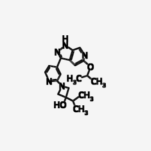 CC(C)Oc1cc2c(-c3ccnc(N4CC(O)(C(C)C)C4)c3)n[nH]c2cn1